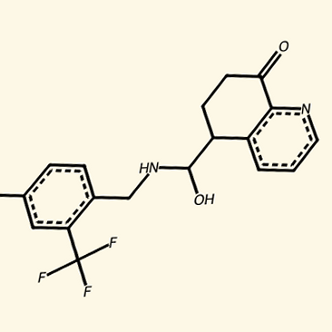 O=C1CCC(C(O)NCc2ccc(F)cc2C(F)(F)F)c2cccnc21